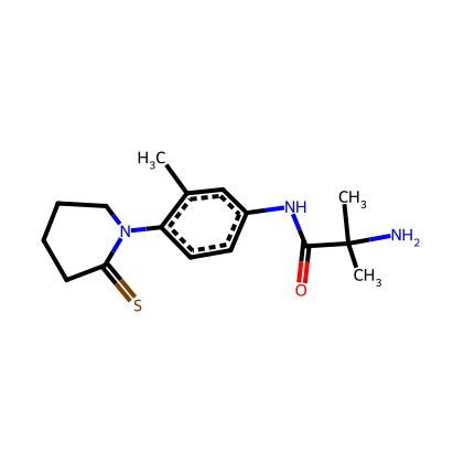 Cc1cc(NC(=O)C(C)(C)N)ccc1N1CCCCC1=S